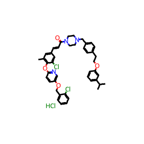 Cc1cc(C=CC(=O)N2CCN(Cc3ccc(CCOc4cccc(C(C)C)c4)cc3)CC2)cc(Cl)c1Oc1ccc(OCc2ccccc2Cl)cn1.Cl